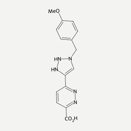 COc1ccc(CN2C=C(c3ccc(C(=O)O)nn3)NN2)cc1